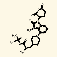 CN(CC1CCN(c2cccc3c2n(C)c(=O)n3C2CCC(=O)NC2=O)CC1)C(=O)OC(C)(C)C